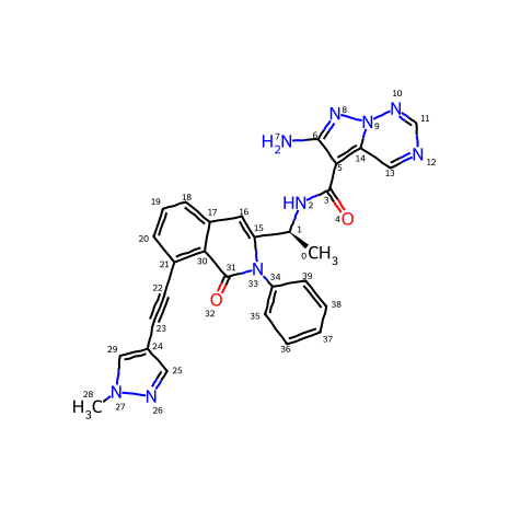 C[C@H](NC(=O)c1c(N)nn2ncncc12)c1cc2cccc(C#Cc3cnn(C)c3)c2c(=O)n1-c1ccccc1